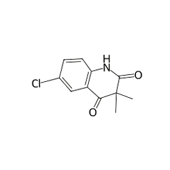 CC1(C)C(=O)Nc2ccc(Cl)cc2C1=O